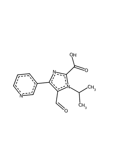 CC(C)n1c(C(=O)O)nc(-c2cccnc2)c1C=O